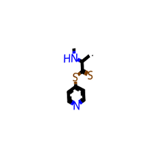 [CH2]C(NC)C(=S)Sc1ccncc1